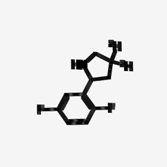 [2H]C1([2H])CNC(c2cc(F)ccc2F)C1